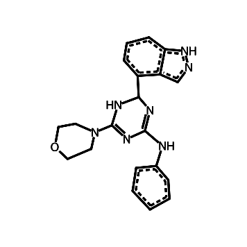 c1ccc(NC2=NC(c3cccc4[nH]ncc34)NC(N3CCOCC3)=N2)cc1